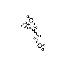 CC1(C(=O)N2CC(C(=O)NC34CC(NC(=O)COc5ccc(Cl)c(F)c5)(C3)C4)Oc3ccc(Cl)cc32)CC1(F)F